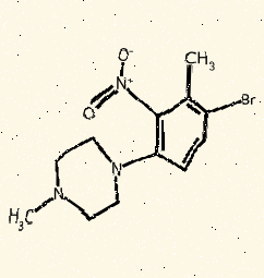 Cc1c(Br)ccc(N2CCN(C)CC2)c1[N+](=O)[O-]